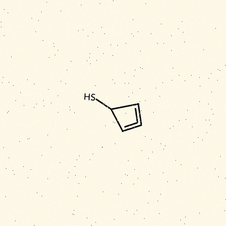 SC1C=C=C1